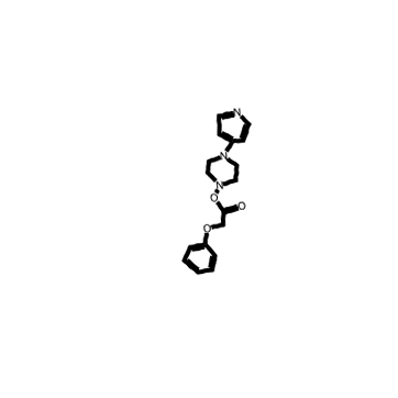 O=C(COc1ccccc1)ON1CCN(c2ccncc2)CC1